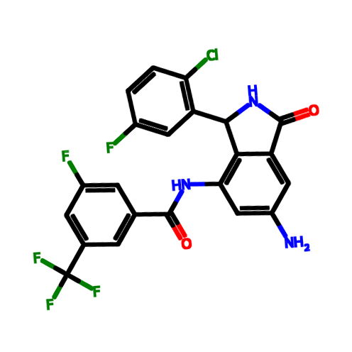 Nc1cc(NC(=O)c2cc(F)cc(C(F)(F)F)c2)c2c(c1)C(=O)NC2c1cc(F)ccc1Cl